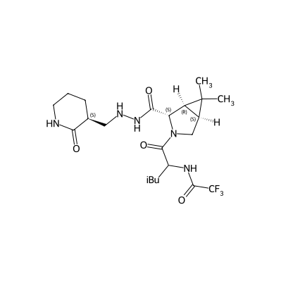 CCC(C)C(NC(=O)C(F)(F)F)C(=O)N1C[C@H]2[C@@H]([C@H]1C(=O)NNC[C@@H]1CCCNC1=O)C2(C)C